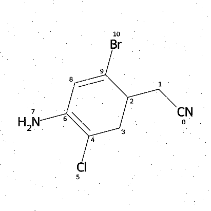 N#CCC1CC(Cl)=C(N)C=C1Br